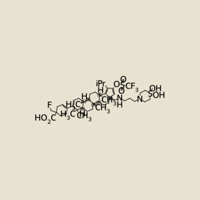 CC(C)C1=C2[C@H]3CC[C@@H]4[C@@]5(C)CC=C(C6=CCC(CF)(C(=O)O)CC6)C(C)(C)[C@@H]5CC[C@@]4(C)[C@]3(C)CC[C@@]2(CNCCCN2CCS(O)(O)CC2)C=C1OS(=O)(=O)C(F)(F)F